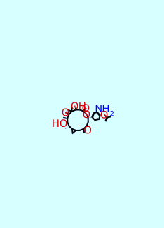 C=C(C)Oc1ccc([C@@H]2CC3OC3(C)CC3CC3[C@H](C)[C@H](O)[C@@H](C)C(=O)C(C)(C)[C@@H](O)CC(=O)O2)cc1N